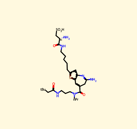 CCCN(CCCNC(=O)CC(C)(C)C)C(=O)C1=Cc2sc(CCCCCNC(=O)[C@@H](N)CS(=O)(=O)O)cc2N=C(N)C1